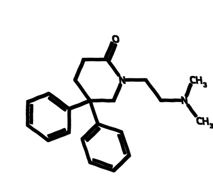 CN(C)CCN1CC(c2ccccc2)(c2ccccc2)CCC1=O